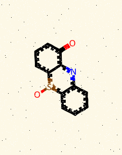 O=c1cccc2[s+]([O-])c3ccccc3nc1-2